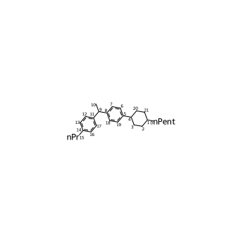 CCCCCC1CCC(c2ccc(C(C)c3ccc(CCC)cc3)cc2)CC1